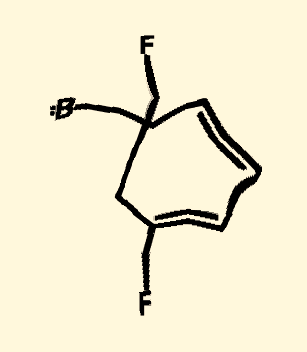 [B]C1(F)C=CC=C(F)C1